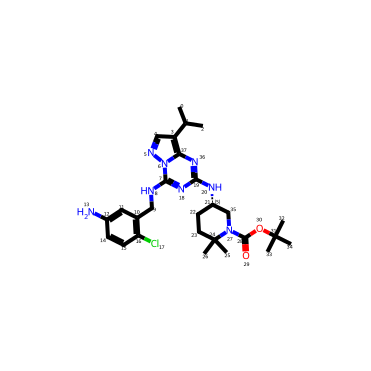 CC(C)c1cnn2c(NCc3cc(N)ccc3Cl)nc(N[C@H]3CCC(C)(C)N(C(=O)OC(C)(C)C)C3)nc12